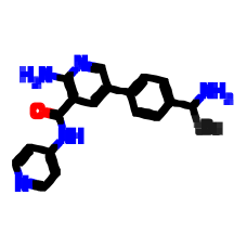 CC(C)(C)C(N)c1ccc(-c2cnc(N)c(C(=O)Nc3ccncc3)c2)cc1